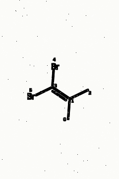 CC(C)=C(Br)Br